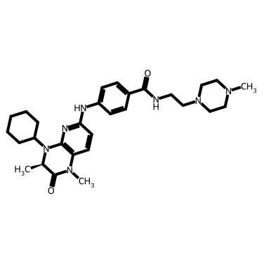 C[C@@H]1C(=O)N(C)c2ccc(Nc3ccc(C(=O)NCCN4CCN(C)CC4)cc3)nc2N1C1CCCCC1